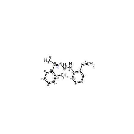 C=Cc1ccccc1NN/C=C(/C)c1ccccc1C